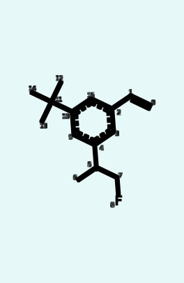 C=Cc1cc([C](C)CF)cc(C(C)(C)C)c1